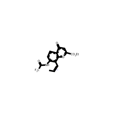 C/C=C\c1c(NC(=O)C(F)(F)F)ccc2c(=O)cc(C(=O)OCC)oc12